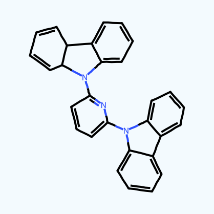 C1=CC2c3ccccc3N(c3cccc(-n4c5ccccc5c5ccccc54)n3)C2C=C1